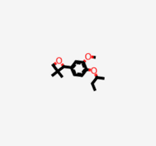 CCC(C)Oc1ccc(C2OCC2(C)C)cc1OC